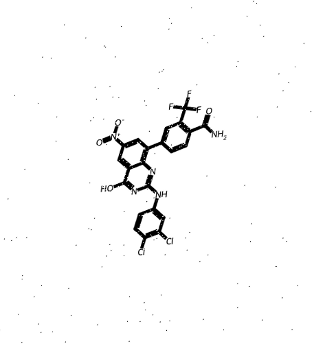 NC(=O)c1ccc(-c2cc([N+](=O)[O-])cc3c(O)nc(Nc4ccc(Cl)c(Cl)c4)nc23)cc1C(F)(F)F